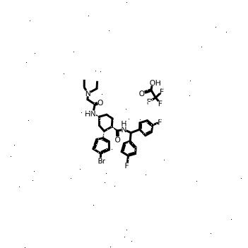 CCN(CC)CC(=O)N[C@@H]1CC[C@@H](C(=O)NC(c2ccc(F)cc2)c2ccc(F)cc2)[C@H](c2ccc(Br)cc2)C1.O=C(O)C(F)(F)F